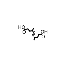 CC(CCC(=O)O)SSC(C)CCC(=O)O